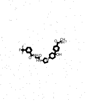 CNC(=O)c1ccc(C2(O)CCC(N3CC[C@@H](NC(=O)CNC(=O)c4cccc(C(F)(F)F)c4)C3)CC2)cc1